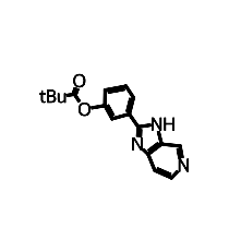 CC(C)(C)C(=O)Oc1cccc(-c2nc3ccncc3[nH]2)c1